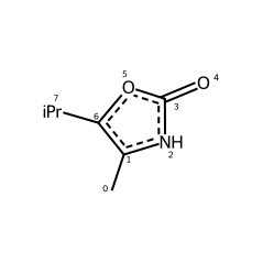 Cc1[nH]c(=O)oc1C(C)C